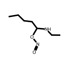 CCCCC(NCC)ON=O